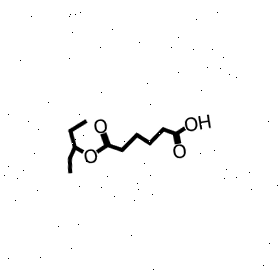 CCC(CC)OC(=O)CCCCC(=O)O